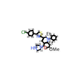 CCc1cccc(CC)c1N1CC(c2nc(-c3ccc(Cl)cc3)cs2)=CC(C(=O)N2CCNCC2)=C1CC(C)OC